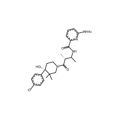 CC(=O)Nc1cccc(C(=O)NC(C)[C@@H](C)C(=O)N2CC[C@](O)(c3ccc(Cl)cc3)C(C)(C)C2)n1